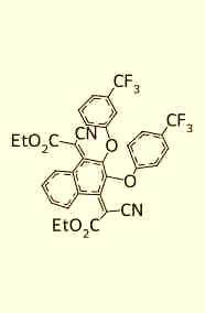 CCOC(=O)/C(C#N)=c1/c(Oc2ccc(C(F)(F)F)cc2)c(Oc2cccc(C(F)(F)F)c2)/c(=C(\C#N)C(=O)OCC)c2ccccc12